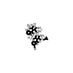 CC(=O)C1=C(C)NC(N)=C(C(=O)OCC2CC2)C1c1csc2c(C#N)cccc12.NC1=C(C(=O)O)C(c2csc3ccccc23)C(C(=O)O)=C(N)N1